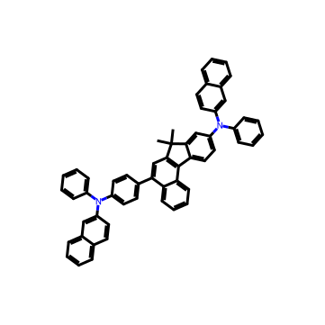 CC1(C)c2cc(N(c3ccccc3)c3ccc4ccccc4c3)ccc2-c2c1cc(-c1ccc(N(c3ccccc3)c3ccc4ccccc4c3)cc1)c1ccccc21